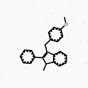 COc1ccc(CC2=C(c3ccccc3)C(C)c3ccccc32)cc1